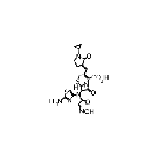 Nc1nc(N(C(=O)/C=N\O)[C@@H]2C(=O)N3C(C(=O)O)=C(/C=C4\CCN(C5CC5)C4=O)CS[C@H]23)cs1